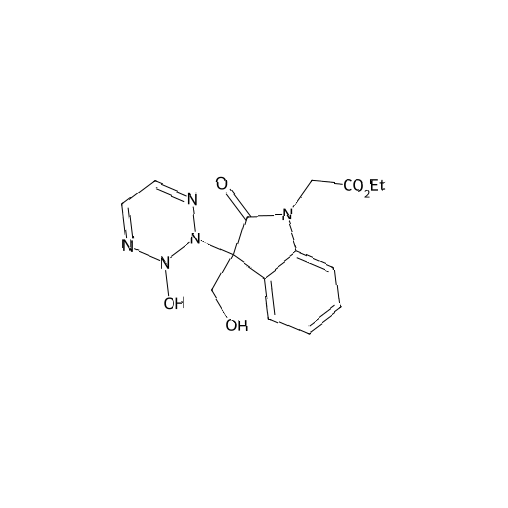 CCOC(=O)CN1C(=O)C(CO)(N2N=CC=NN2O)c2ccccc21